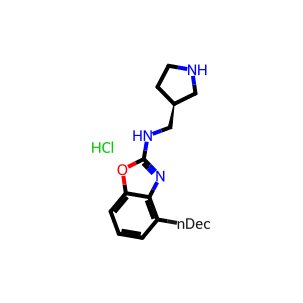 CCCCCCCCCCc1cccc2oc(NC[C@H]3CCNC3)nc12.Cl